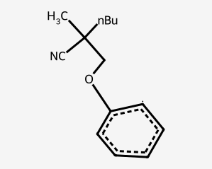 CCCCC(C)(C#N)COc1[c]cccc1